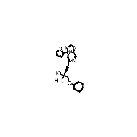 CC(O)(C#CC1=C[N+]2(c3ccco3)N=CN=C2C=N1)COc1ccccc1